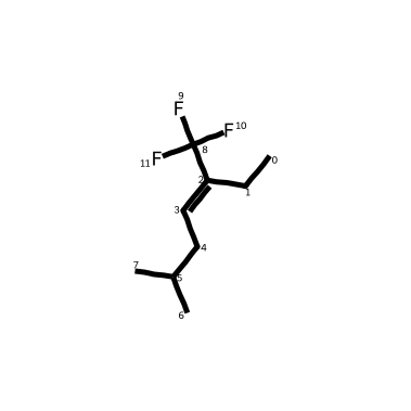 CC/C(=C\CC(C)C)C(F)(F)F